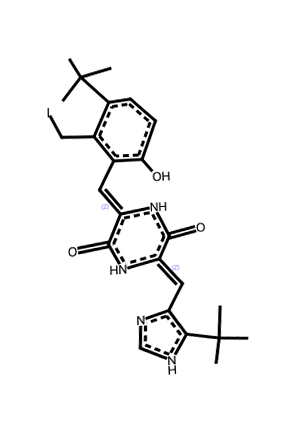 CC(C)(C)c1ccc(O)c(/C=c2\[nH]c(=O)/c(=C/c3nc[nH]c3C(C)(C)C)[nH]c2=O)c1CI